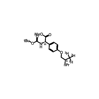 [2H]C([2H])([2H])[C@@H](CCC)COc1ccc([C@@H](NC(=O)OC(C)(C)C)C(=O)OC)cc1